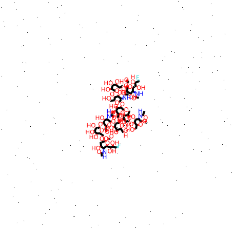 COC1OC(CO)C(OC2OC(COC3OC(CO)C(O)C(O)C3OC3OC(CO)C(OC4OC(COC5(OC=O)CC(O)C(NC(C)=O)C([C@H](O)C(O)CF)O5)C(O)C(O)C4O)C(O)C3NC(C)=O)C(O)C(OC3OC(CO)C(O)C(O)C3OC3OC(CO)C(OC4OC(COC5(OC=O)CC(O)C(NC(C)=O)C([C@H](O)C(O)CF)O5)C(O)C(O)C4O)C(O)C3NC(C)=O)C2O)C(O)C1NC(C)=O